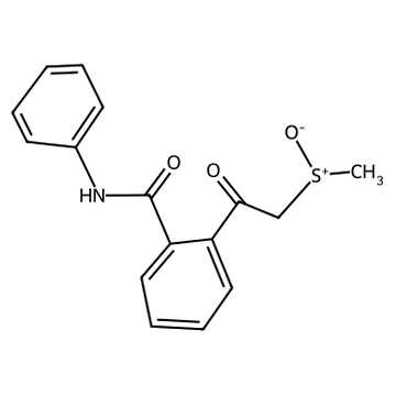 C[S+]([O-])CC(=O)c1ccccc1C(=O)Nc1ccccc1